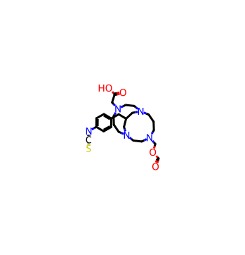 O=COCN1CCCN2CCN(CC(=O)O)CCCN(CC1)CC(Cc1ccc(N=C=S)cc1)C2